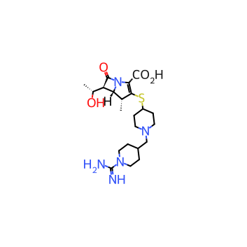 C[C@@H](O)[C@H]1C(=O)N2C(C(=O)O)=C(SC3CCN(CC4CCN(C(=N)N)CC4)CC3)[C@H](C)[C@H]12